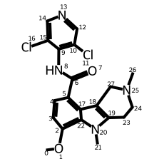 COc1ccc(C(=O)Nc2c(Cl)cncc2Cl)c2c3c(n(C)c12)CCN(C)C3